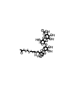 CC(=O)CSCSCCCNCC(O)C(O)C(CO)O[C@@H]1OC[C@@H](O[C@@H]2OC[C@@H](O)C(O)C2O[C@H]2OC(OC=O)[C@@H](CO)[C@H](O)C2O)[C@@H](O)C1O